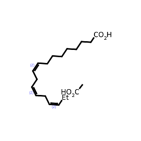 CC(=O)O.CC/C=C\C/C=C\C/C=C\CCCCCCCC(=O)O